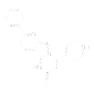 O=c1cc(C2CCNCC2)n2nc3nc(-c4ccccc4)ccc3c2[nH]1